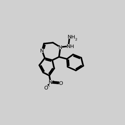 NNN1CC=Nc2ccc([N+](=O)[O-])cc2C1c1ccccc1